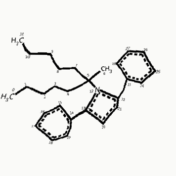 CCCCCC(C)(CCCCC)n1c(-c2ccccc2)ccc1-c1ccccc1